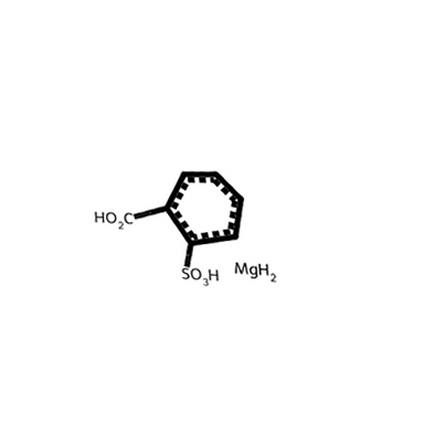 O=C(O)c1ccccc1S(=O)(=O)O.[MgH2]